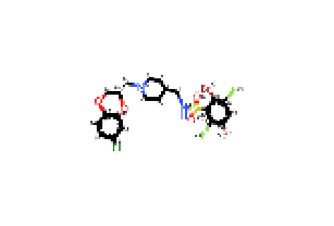 O=S(=O)(NCC1CCN(C[C@H]2COc3ccc(Cl)cc3O2)CC1)c1c(F)c(Br)cc(F)c1Br